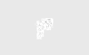 CC(C)(C(=O)N1CCOCC1)n1c[c]cn1